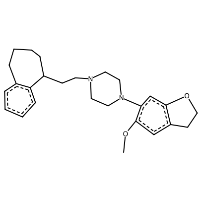 COc1cc2c(cc1N1CCN(CCC3CCCCc4ccccc43)CC1)OCC2